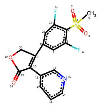 CS(=O)(=O)c1c(F)cc(C2=C(c3cccnc3)C(=O)OC2)cc1F